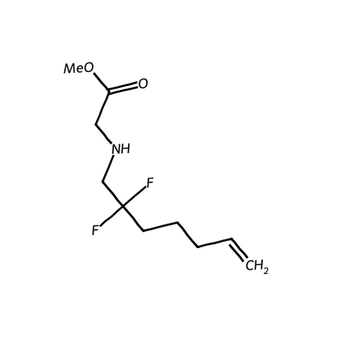 C=CCCCC(F)(F)CNCC(=O)OC